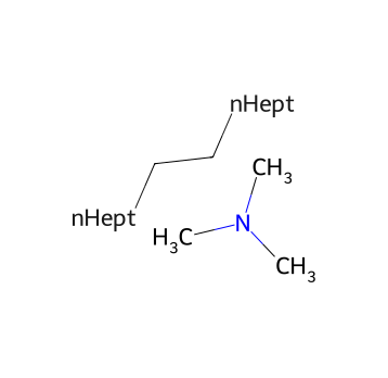 CCCCCCCCCCCCCCCC.CN(C)C